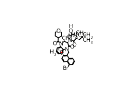 COc1ccc2c(Br)cccc2c1CN1C(=O)[C@@H](NC(=O)[C@H](CC(C)(C)C)N(C)C(=O)O)[C@H](C)N(C(=O)C2CCOCC2)c2ccccc21